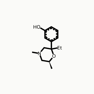 CCC1(c2cccc(O)c2)CN(C)C[C@H](C)O1